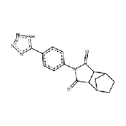 O=C1C2C3CCC(C3)C2C(=O)N1c1ccc(-c2nnn[nH]2)cc1